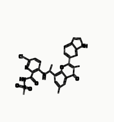 Cc1cc(C(C)Nc2ccc(Cl)nc2C(=O)NS(C)(=O)=O)c2oc(-c3ccc4cc[nH]c4c3)c(C)c(=O)c2c1